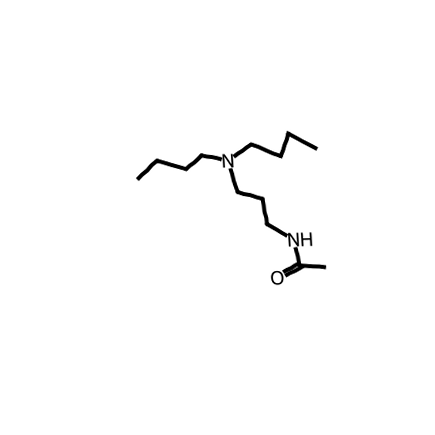 CCCCN(CCCC)CCCNC(C)=O